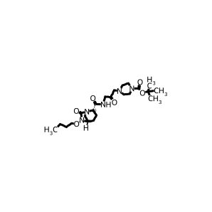 CCCCON1C(=O)N2C[C@@H]1CC[C@H]2C(=O)NCC(=O)CN1CCN(C(=O)OC(C)(C)C)CC1